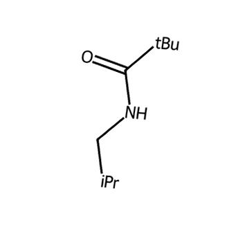 CC(C)CNC(=O)C(C)(C)C